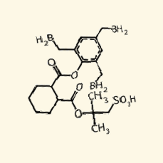 BCc1cc(CB)c(OC(=O)C2CCCCC2C(=O)OC(C)(C)CS(=O)(=O)O)c(CB)c1